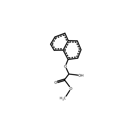 COC(=O)C(O)Oc1cccc2ccccc12